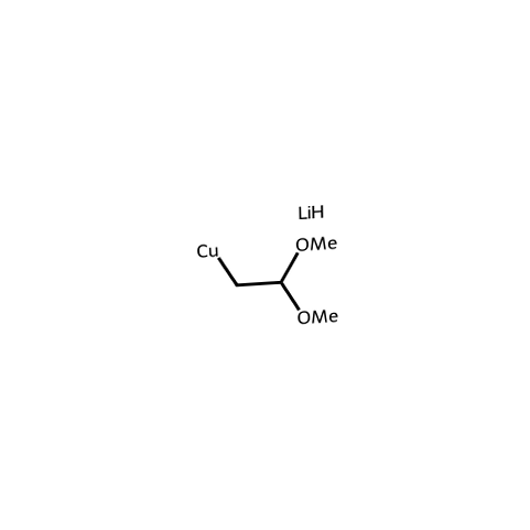 COC([CH2][Cu])OC.[LiH]